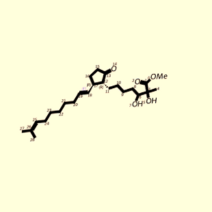 COC(=O)C(C)(O)C(O)CCCC[C@H]1C(=O)CC[C@@H]1/C=C/CCCCCC=C(C)C